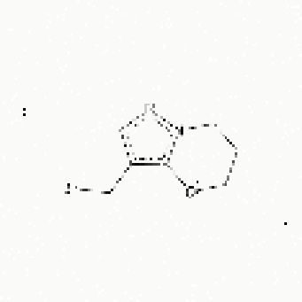 BrCc1cnn2c1OCCC2